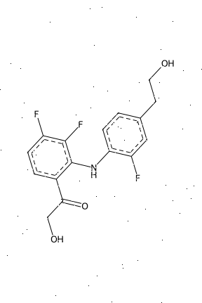 O=C(CO)c1ccc(F)c(F)c1Nc1ccc(CCO)cc1F